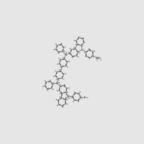 Nc1ccc(C2c3ccccc3-c3cc(N(c4ccccc4)c4ccc(-c5ccc(N(c6ccccc6)c6ccc7c(c6)c6ccccc6n7-c6ccc(F)cc6)cc5)cc4)ccc32)cc1